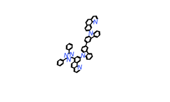 c1ccc(-c2nc(-c3ccccc3)nc(-c3cc(-n4c5ccccc5c5cc(-c6ccc7c(c6)c6ccccc6n7-c6ccc7ccc8cccnc8c7c6)ccc54)cc4c3ccc3cccnc34)n2)cc1